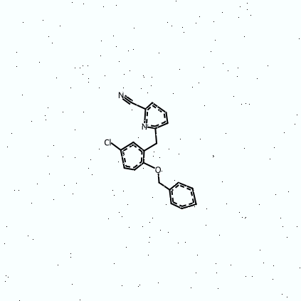 N#Cc1cccc(Cc2cc(Cl)ccc2OCc2ccccc2)n1